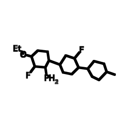 CCOC1CCC(C2CCC(C3CCC(C)CC3)C(F)C2)C(P)C1F